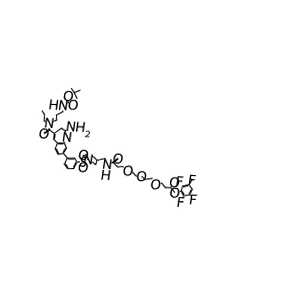 CCCN(CCCNC(=O)OC(C)(C)C)C(=O)C1=Cc2ccc(-c3cccc(S(=O)(=O)N4CC(CNC(=O)CCOCCOCCOCCC(=O)Oc5c(F)c(F)cc(F)c5F)C4)c3)cc2N=C(N)C1